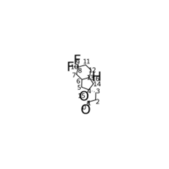 O=C1CC[C@@]2(CC3CC(F)(F)CC[C@H]3C2)O1